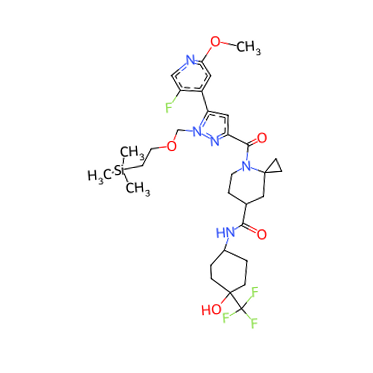 COc1cc(-c2cc(C(=O)N3CCC(C(=O)NC4CCC(O)(C(F)(F)F)CC4)CC34CC4)nn2COCC[Si](C)(C)C)c(F)cn1